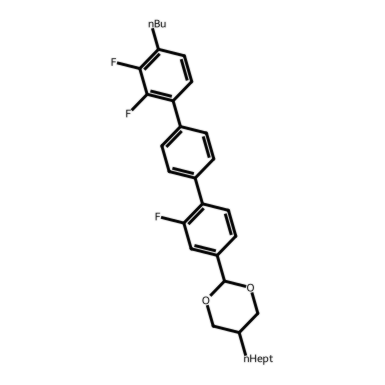 CCCCCCCC1COC(c2ccc(-c3ccc(-c4ccc(CCCC)c(F)c4F)cc3)c(F)c2)OC1